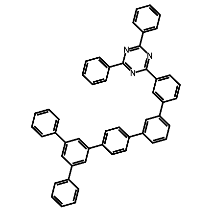 c1ccc(-c2cc(-c3ccccc3)cc(-c3ccc(-c4cccc(-c5cccc(-c6nc(-c7ccccc7)nc(-c7ccccc7)n6)c5)c4)cc3)c2)cc1